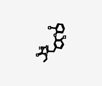 CCn1c(Cc2ccc(Cl)c(Oc3ccccc3Cl)c2)n[nH]c1=O